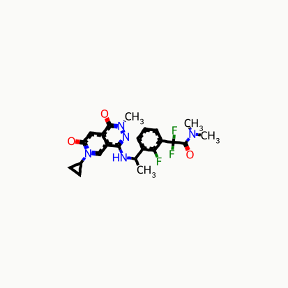 CC(Nc1nn(C)c(=O)c2cc(=O)n(C3CC3)cc12)c1cccc(C(F)(F)C(=O)N(C)C)c1F